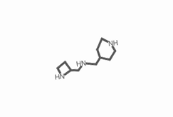 C1CC(CNCC2CCN2)CCN1